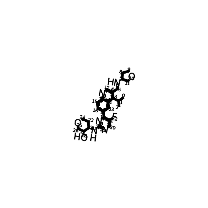 CC(C)c1c(CN[C@H]2CCOC2)cnc2ccc(-c3nc(N[C@@H]4CCOC[C@H]4O)ncc3F)cc12